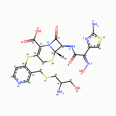 Nc1nc(/C(=N/O)C(=O)N[C@@H]2C(=O)N3C(C(=O)O)=C(Sc4ccncc4CSCC(N)CO)CS[C@@H]23)cs1